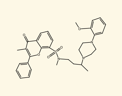 COc1ccccc1N1CCN(C(C)CCN(C)S(=O)(=O)c2cccc3c(=O)c(C)c(-c4ccccc4)oc23)CC1